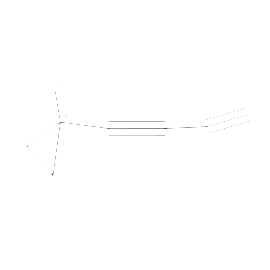 C#CC#CC1(C)CC1